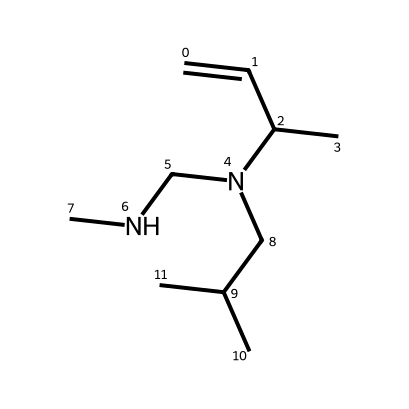 C=CC(C)N(CNC)CC(C)C